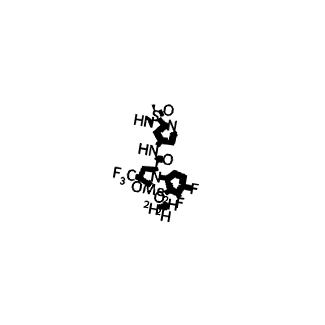 [2H]C([2H])([2H])Oc1c(N2C[C@@](OC)(C(F)(F)F)C[C@H]2C(=O)Nc2ccnc([S@](C)(=N)=O)c2)ccc(F)c1F